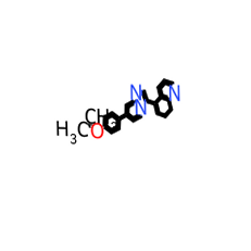 CC(C)Oc1ccc(-c2ccn3c(C4=CCCc5ncccc54)cnc3c2)cc1